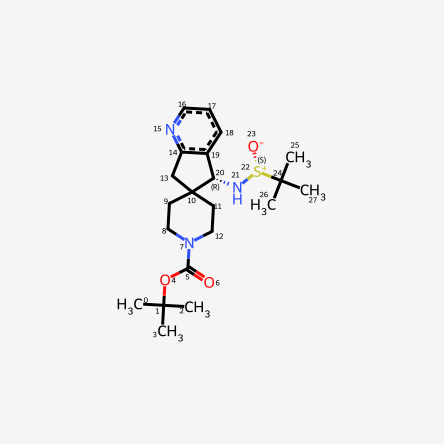 CC(C)(C)OC(=O)N1CCC2(CC1)Cc1ncccc1[C@@H]2N[S@+]([O-])C(C)(C)C